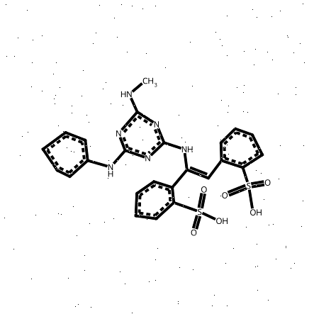 CNc1nc(NC(=Cc2ccccc2S(=O)(=O)O)c2ccccc2S(=O)(=O)O)nc(Nc2ccccc2)n1